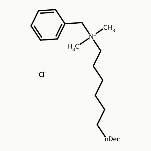 CCCCCCCCCCCCCCCC[N+](C)(C)Cc1ccccc1.[Cl-]